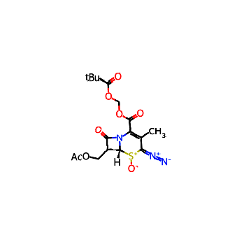 CC(=O)OCC1C(=O)N2C(C(=O)OCOC(=O)C(C)(C)C)=C(C)C(=[N+]=[N-])[S+]([O-])[C@H]12